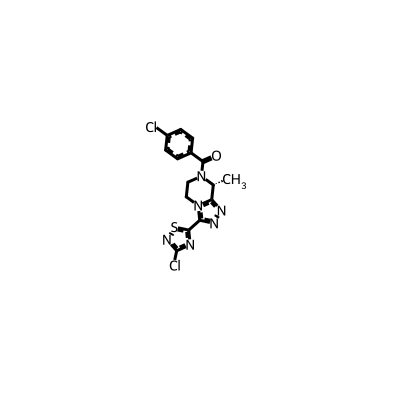 C[C@@H]1c2nnc(-c3nc(Cl)ns3)n2CCN1C(=O)c1ccc(Cl)cc1